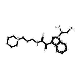 CC[C@H](C)n1cc(C(=O)C(=O)NCCCN2CCCCC2)c2ccccc21